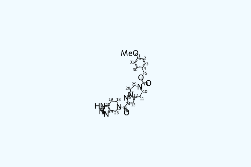 COc1ccc(COC(=O)N2CCc3cc(C(=O)N4CCc5[nH]nnc5C4)nn3CC2)cc1